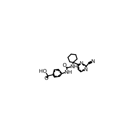 N#Cc1nccc(C2(NC(=O)Nc3ccc(C(=O)O)cc3)CCCCC2)n1